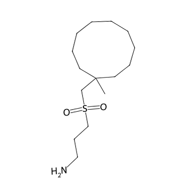 CC1(CS(=O)(=O)CCCN)CCCCCCCCC1